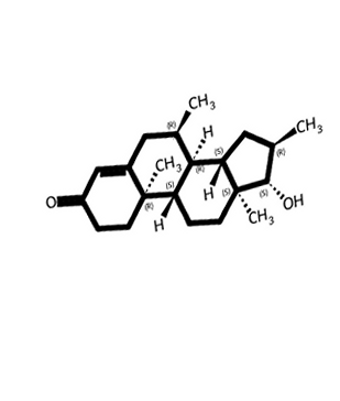 C[C@@H]1CC2=CC(=O)CC[C@]2(C)[C@H]2CC[C@]3(C)[C@@H](O)[C@H](C)C[C@H]3[C@H]12